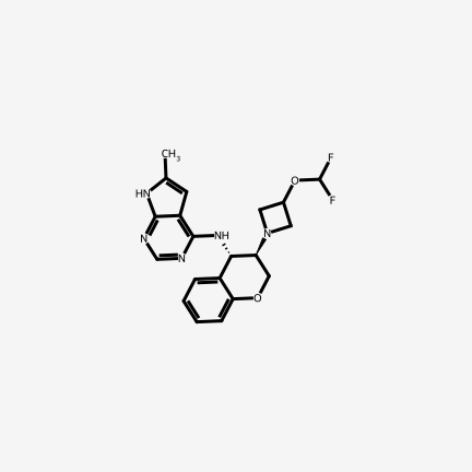 Cc1cc2c(N[C@H]3c4ccccc4OC[C@@H]3N3CC(OC(F)F)C3)ncnc2[nH]1